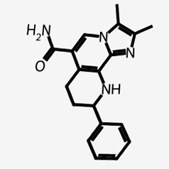 Cc1nc2c3c(c(C(N)=O)cn2c1C)CCC(c1ccccc1)N3